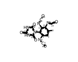 Cc1cc(N=C=O)c(-n2c(=O)[nH]c(=O)[nH]c2=O)c(N=C=O)c1N=C=O